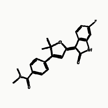 CN(C)C(=O)c1ccc(C2=C/C(=C3\C(=O)Nc4cc(F)ccc43)OC2(C)C)cc1